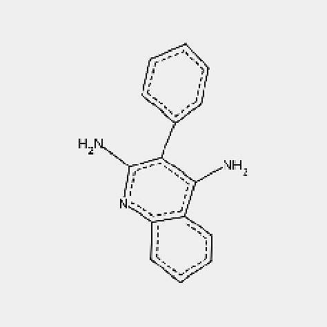 Nc1nc2ccccc2c(N)c1-c1ccccc1